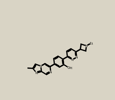 CCN1CC(c2ccc(-c3ccc(-c4cn5cc(C)nc5cn4)cc3O)nn2)C1